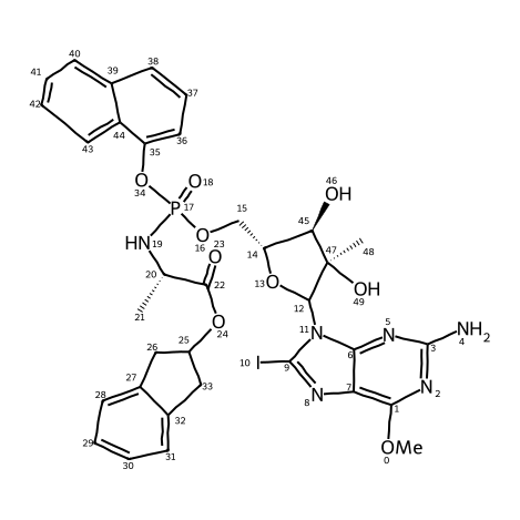 COc1nc(N)nc2c1nc(I)n2C1O[C@H](COP(=O)(N[C@@H](C)C(=O)OC2Cc3ccccc3C2)Oc2cccc3ccccc23)[C@@H](O)[C@@]1(C)O